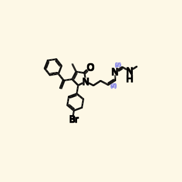 C=C(C1=C(C)C(=O)N(CC/C=C\N=C/NC)C1C1=CC=C(Br)CC1)c1ccccc1